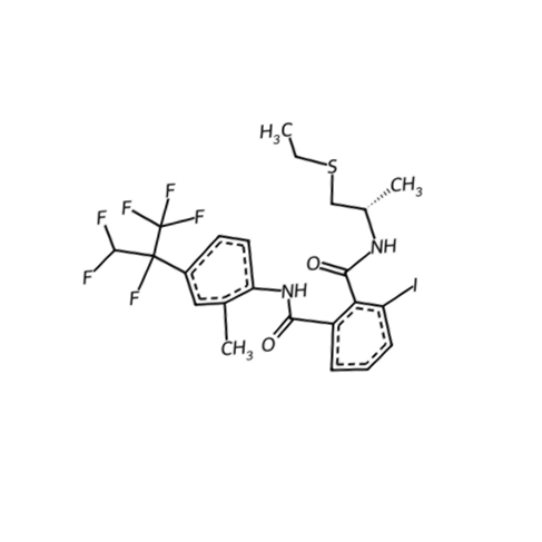 CCSC[C@H](C)NC(=O)c1c(I)cccc1C(=O)Nc1ccc(C(F)(C(F)F)C(F)(F)F)cc1C